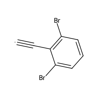 [C]#Cc1c(Br)cccc1Br